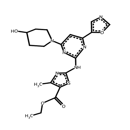 CCOC(=O)c1sc(Nc2nc(-c3cnco3)cc(N3CCC(O)CC3)n2)nc1C